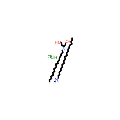 CCCCCCCCCCCCCCCCCCCCCC[N+](C)(C)C.CCCCCCCCCCCCCCCCCCNC(CCO)CCO.Cl.[Cl-]